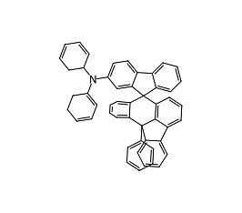 C1=CCCC(N(c2ccc3c(c2)C2(c4ccccc4-3)c3ccccc3C3(c4ccccc4)c4ccccc4-c4cccc2c43)C2C=CC=CC2)=C1